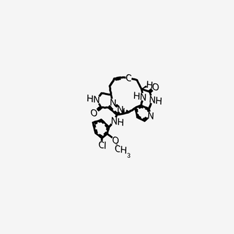 COc1c(Cl)cccc1Nc1c2nn3c1C(=O)NCC3C/C=C\CC[C@H]1Nc3c-2ccnc3NC1=O